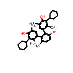 Cc1cc(-c2c(C)ccc(O)c2-c2cc(C)c(O)c(C3CCCCC3)c2C)c(C)c(C2CCCCC2)c1O